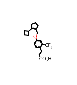 O=C(O)CCc1ccc(OCC2=C(C3CCC3)CCC2)cc1C(F)(F)F